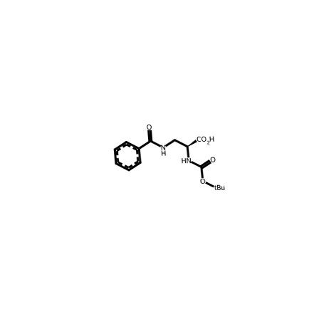 CC(C)(C)OC(=O)N[C@@H](CNC(=O)c1ccccc1)C(=O)O